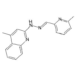 Cc1cccc(/C=N/Nc2cc(C)c3ccccc3n2)n1